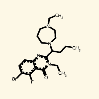 CCCC(c1nc2ccc(Br)c(F)c2c(=O)n1CC)N1CCCN(CC)CC1